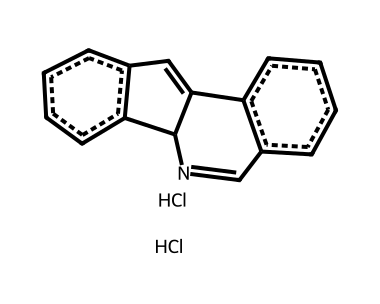 C1=NC2C(=Cc3ccccc32)c2ccccc21.Cl.Cl